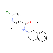 O=C(N[C@@H]1CCc2ccccc2C1)c1ccc(Cl)nc1